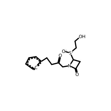 O=C(CCc1ccccc1)CN1C(=O)CC1[S+]([O-])CCO